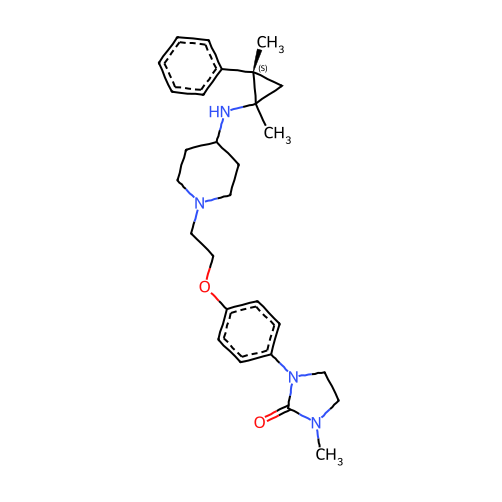 CN1CCN(c2ccc(OCCN3CCC(NC4(C)C[C@@]4(C)c4ccccc4)CC3)cc2)C1=O